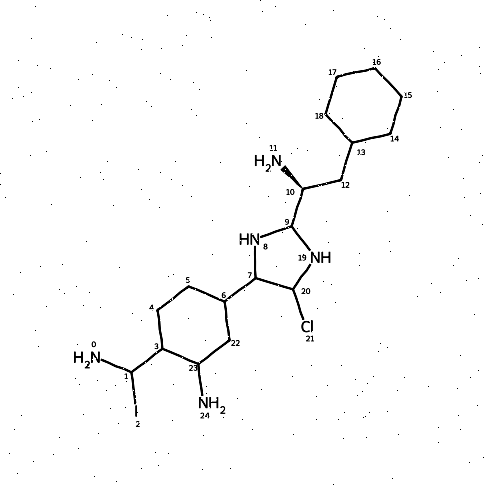 NC(I)C1CCC(C2NC([C@@H](N)CC3CCCCC3)NC2Cl)CC1N